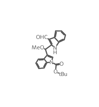 COC(c1[nH]c2ccccc2c1C=O)c1cn(C(=O)OC(C)(C)C)c2ccccc12